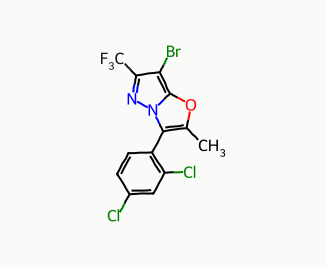 Cc1oc2c(Br)c(C(F)(F)F)nn2c1-c1ccc(Cl)cc1Cl